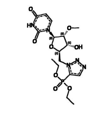 CCOP(=O)(OCC)c1cnnn1C[C@H]1O[C@@H](n2ccc(=O)[nH]c2=O)[C@H](OC)[C@@H]1O